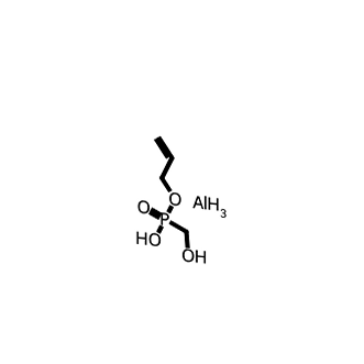 C=CCOP(=O)(O)CO.[AlH3]